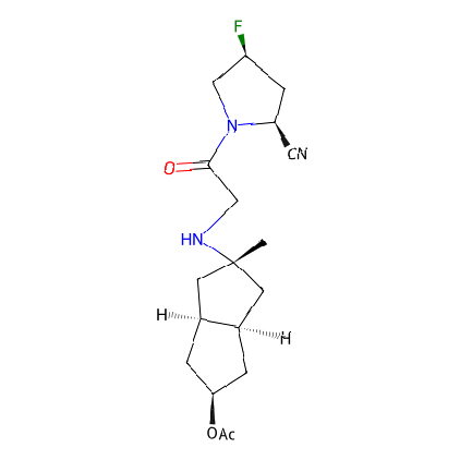 CC(=O)O[C@@H]1C[C@@H]2C[C@@](C)(NCC(=O)N3C[C@@H](F)C[C@H]3C#N)C[C@@H]2C1